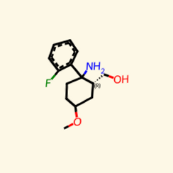 COC1CCC(N)(c2ccccc2F)[C@H](CO)C1